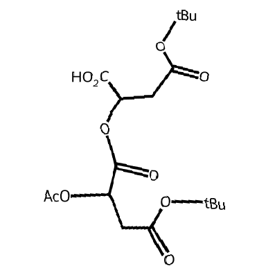 CC(=O)OC(CC(=O)OC(C)(C)C)C(=O)OC(CC(=O)OC(C)(C)C)C(=O)O